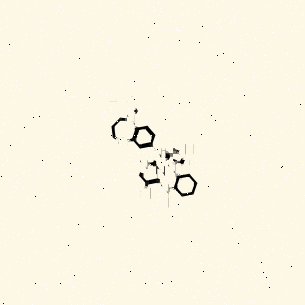 CCN1CCCOc2cc(Nc3ncc(Cl)c(N[C@@H]4CCCC[C@H]4NS(C)(=O)=O)n3)ccc21